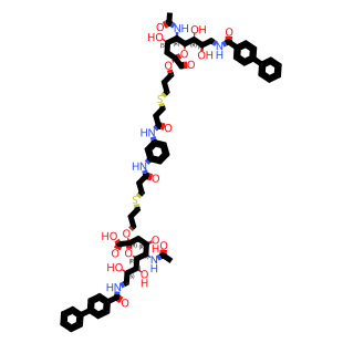 CC(=O)N[C@@H]1[C@H]([C@H](O)[C@@H](O)CNC(=O)c2ccc(-c3ccccc3)cc2)O[C@@](OCCCSCCC(=O)Nc2cccc(NC(=O)CCSCCCO[C@]3(C=O)C[C@H](O)[C@@H](NC(C)=O)[C@H]([C@H](O)[C@H](O)CNC(=O)c4ccc(-c5ccccc5)cc4)O3)c2)(C(=O)O)C[C@H]1O